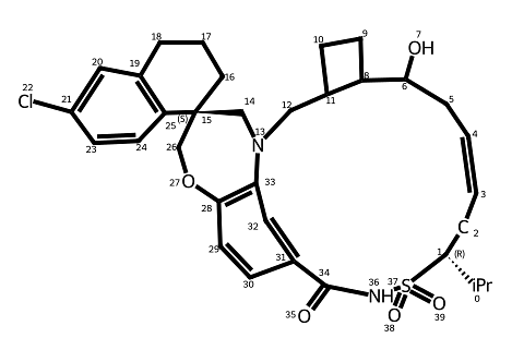 CC(C)[C@H]1CC=CCC(O)C2CCC2CN2C[C@@]3(CCCc4cc(Cl)ccc43)COc3ccc(cc32)C(=O)NS1(=O)=O